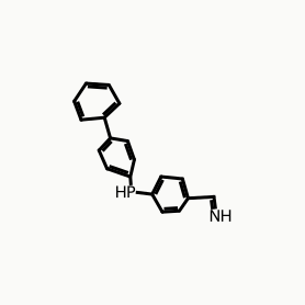 N=Cc1ccc(Pc2ccc(-c3ccccc3)cc2)cc1